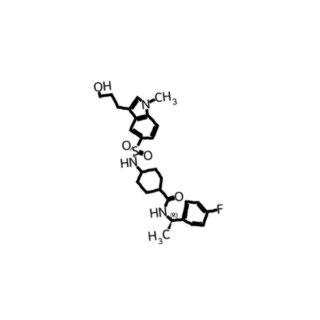 C[C@@H](NC(=O)C1CCC(NS(=O)(=O)c2ccc3c(c2)c(CCCO)cn3C)CC1)c1ccc(F)cc1